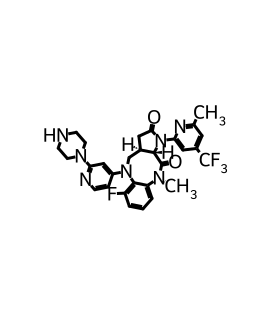 Cc1cc(C(F)(F)F)cc(N2C(=O)C[C@@H]3CN(c4ccnc(N5CCNCC5)c4)c4c(F)cccc4N(C)C(=O)[C@H]32)n1